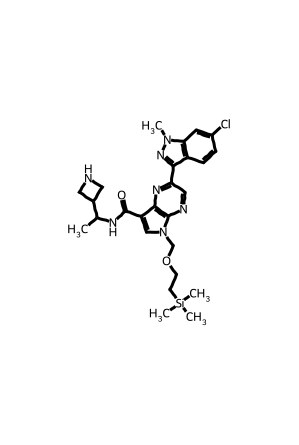 CC(NC(=O)c1cn(COCC[Si](C)(C)C)c2ncc(-c3nn(C)c4cc(Cl)ccc34)nc12)C1CNC1